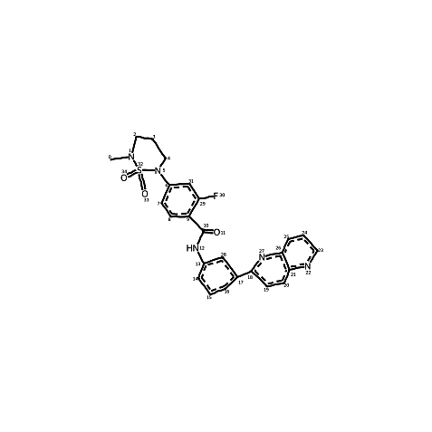 CN1CCCN(c2ccc(C(=O)Nc3cccc(-c4ccc5ncccc5n4)c3)c(F)c2)S1(=O)=O